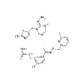 CN1COCN(Cc2cnc(Cl)s2)/C1=N/[N+](=O)[O-].COC(=O)NCc1cc(/C(C)=N/OCc2cccc(C)n2)ccc1Cl